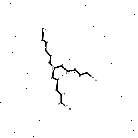 FCCCCCB(CCCCCF)CCCCCF